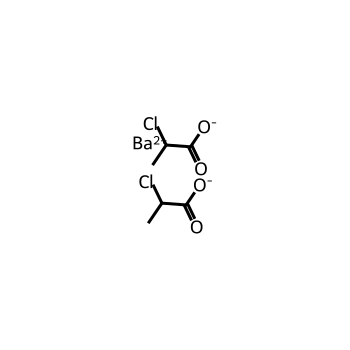 CC(Cl)C(=O)[O-].CC(Cl)C(=O)[O-].[Ba+2]